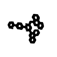 C1=Cc2c(c(-c3cc(Cc4cc5ccccc5c5ccccc45)nc(-c4ccc(-c5ccccn5)cc4)n3)cc3ccccc23)CC1